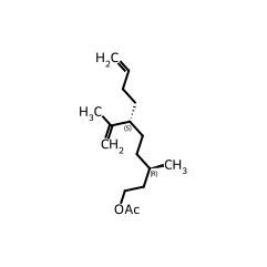 C=CCC[C@H](CC[C@@H](C)CCOC(C)=O)C(=C)C